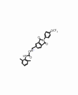 Cc1cccc(C)c1NC(=O)O/N=C/c1ccc2c(c1)C(=O)N(c1ccc(OC(F)(F)F)cc1)C2=O